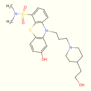 CN(C)S(=O)(=O)c1cccc2c1Sc1ccc(O)cc1N2CCCN1CCC(CCO)CC1